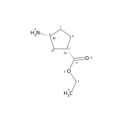 CCOC(=O)[C@H]1CC[C@@H](N)C1